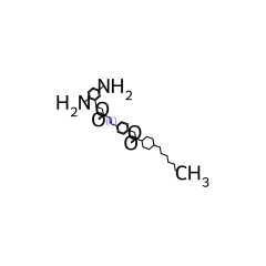 CCCCCCCC1CCC(C(=O)Oc2ccc(/C=C/C(=O)OCc3cc(N)ccc3N)cc2)CC1